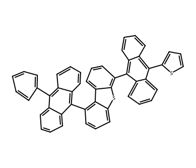 c1ccc(-c2c3ccccc3c(-c3cccc4sc5c(-c6c7ccccc7c(-c7cccs7)c7ccccc67)cccc5c34)c3ccccc23)cc1